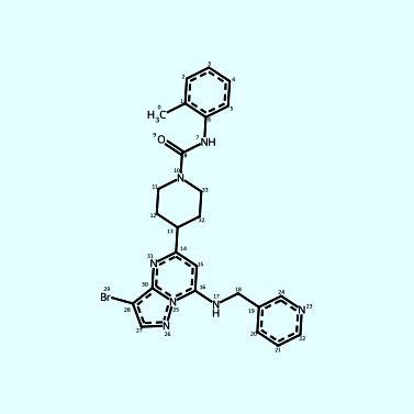 Cc1ccccc1NC(=O)N1CCC(c2cc(NCc3cccnc3)n3ncc(Br)c3n2)CC1